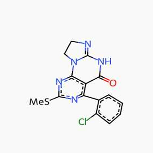 CSc1nc(-c2ccccc2Cl)c2c(n1)N1CCN=C1NC2=O